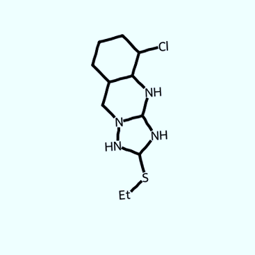 CCSC1NC2NC3C(Cl)CCCC3CN2N1